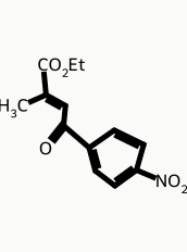 CCOC(=O)C(C)=CC(=O)c1ccc([N+](=O)[O-])cc1